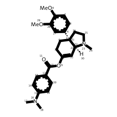 COc1ccc([C@@]23CCC(OC(=O)c4ccc(N(C)C)cc4)=C[C@@H]2N(C)CC3)cc1OC